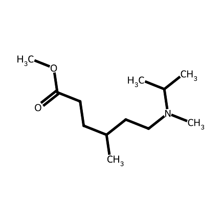 COC(=O)CCC(C)CCN(C)C(C)C